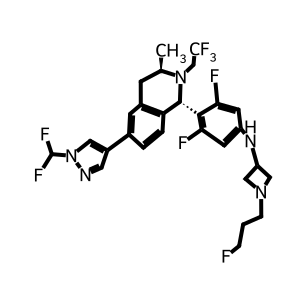 C[C@@H]1Cc2cc(-c3cnn(C(F)F)c3)ccc2[C@@H](c2c(F)cc(NC3CN(CCCF)C3)cc2F)N1CC(F)(F)F